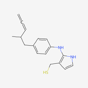 C=C=CC(C)Cc1ccc(Nc2[nH]ccc2CS)cc1